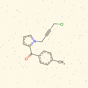 Cc1ccc(C(=O)c2cccn2CC#CCCl)cc1